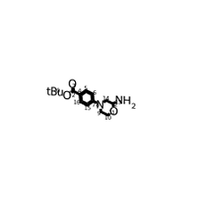 CC(C)(C)OC(=O)c1ccc(N2CCOC(N)C2)cc1